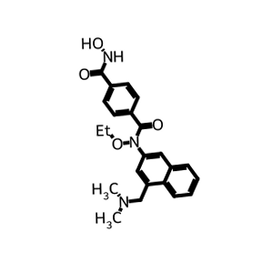 CCON(C(=O)c1ccc(C(=O)NO)cc1)c1cc(CN(C)C)c2ccccc2c1